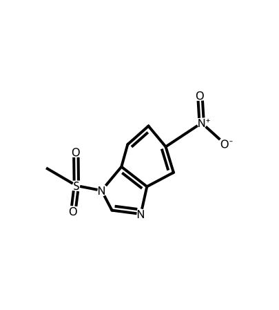 CS(=O)(=O)n1cnc2cc([N+](=O)[O-])ccc21